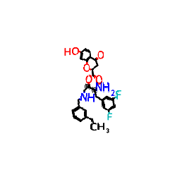 CCc1cccc(CNC[C@@H](OC(=O)C2CC(=O)c3ccc(O)cc3O2)[C@@H](N)Cc2cc(F)cc(F)c2)c1